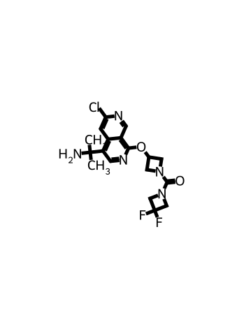 CC(C)(N)c1cnc(OC2CN(C(=O)N3CC(F)(F)C3)C2)c2cnc(Cl)cc12